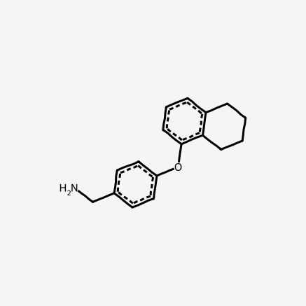 NCc1ccc(Oc2cccc3c2CCCC3)cc1